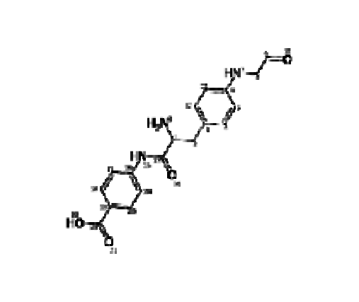 NC(Cc1ccc(NCC=O)cc1)C(=O)Nc1ccc(C(=O)O)cc1